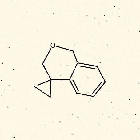 c1ccc2c(c1)COCC21CC1